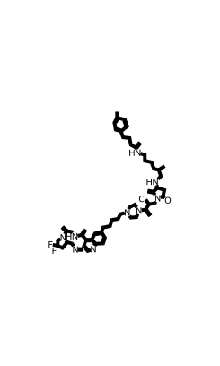 C=NCC1CC(F)(F)CN1C(=C)CNC(=C)c1ccnc2ccc(CCCCCN3CCN(C(=C)C(Cl)CN4C(=C)C(NCC(C)CCCCNC(=C)CCCc5ccc(C)cc5)CC4=O)CC3)cc12